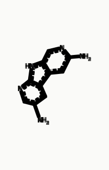 Nc1cnc2[nH]c3cnc(N)cc3c2c1